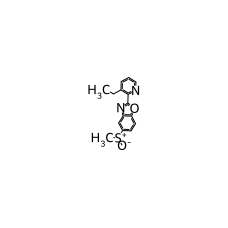 CCc1cccnc1-c1nc2cc([S+](C)[O-])ccc2o1